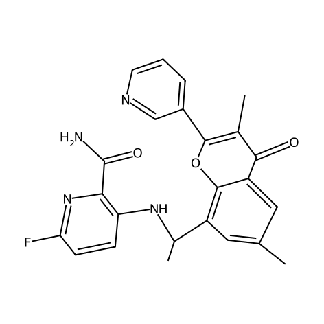 Cc1cc(C(C)Nc2ccc(F)nc2C(N)=O)c2oc(-c3cccnc3)c(C)c(=O)c2c1